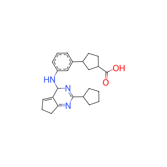 O=C(O)C1CCC(c2cccc(NC3N=C(C4CCCC4)N=C4CCC=C43)c2)C1